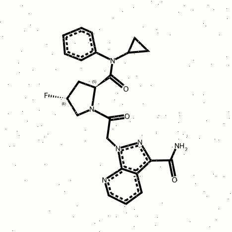 NC(=O)c1nn(CC(=O)N2C[C@H](F)C[C@H]2C(=O)N(c2ccccc2)C2CC2)c2ncccc12